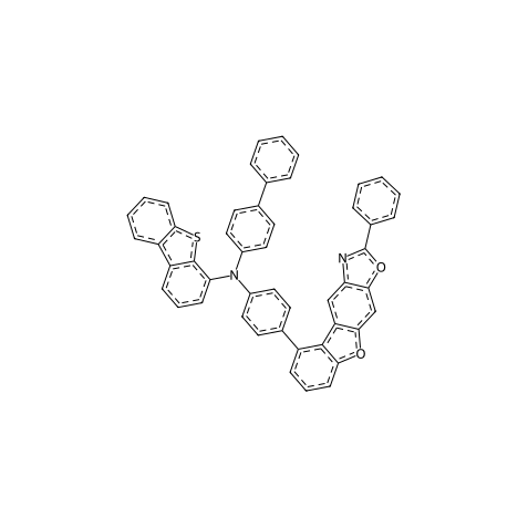 c1ccc(-c2ccc(N(c3ccc(-c4cccc5oc6cc7oc(-c8ccccc8)nc7cc6c45)cc3)c3cccc4c3sc3ccccc34)cc2)cc1